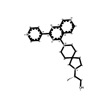 C[C@@H](CO)N1CCC2(CCN(c3nc(-c4ccncc4)nc4cnccc34)CC2)C1